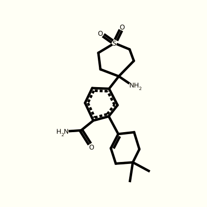 CC1(C)CC=C(c2cc(C3(N)CCS(=O)(=O)CC3)ccc2C(N)=O)CC1